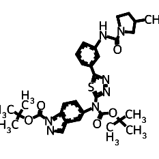 CC1CCN(C(=O)Nc2cccc(-c3nnc(N(C(=O)OC(C)(C)C)c4ccc5c(cnn5C(=O)OC(C)(C)C)c4)s3)c2)C1